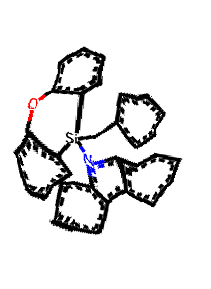 c1ccc([Si]2(n3c4ccccc4c4ccccc43)c3ccccc3Oc3ccccc32)cc1